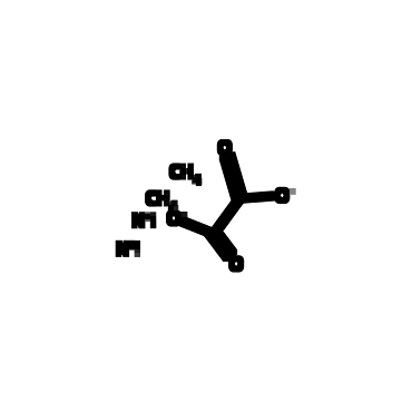 C.C.O=C([O-])C(=O)[O-].[N+].[N+]